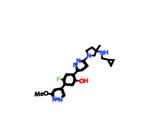 COc1cc(-c2cc(O)c(-c3ccc(N4CCC(C)(NCC5CC5)C4)nn3)cc2F)cnn1